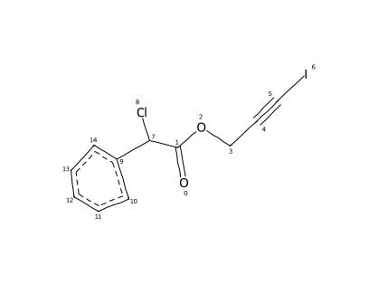 O=C(OCC#CI)C(Cl)c1ccccc1